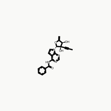 C=C1O[C@@H](n2ccc3c(NC(=O)c4ccccc4)ncnc32)[C@@](O)(C#CC)[C@@H]1O